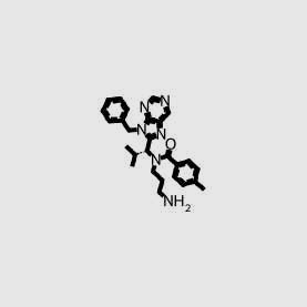 Cc1ccc(C(=O)N(CCCN)[C@@H](c2nc3cncnc3n2Cc2ccccc2)C(C)C)cc1